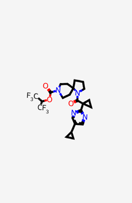 O=C(OC(C(F)(F)F)C(F)(F)F)N1CCC2(CCCN2C(=O)C2(c3ncc(C4CC4)cn3)CC2)CC1